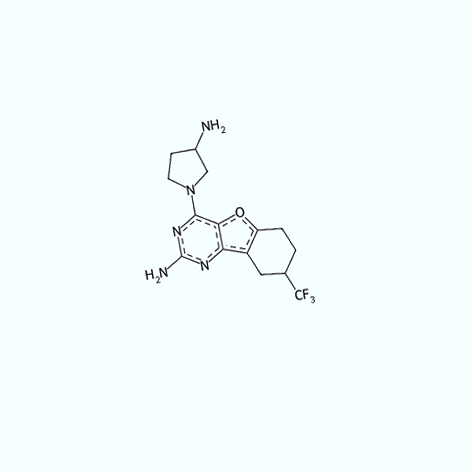 Nc1nc(N2CCC(N)C2)c2oc3c(c2n1)CC(C(F)(F)F)CC3